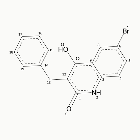 O=c1[nH]c2ccc(Br)cc2c(O)c1Cc1ccccc1